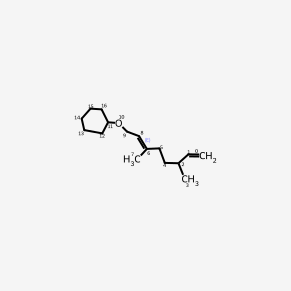 C=CC(C)CC/C(C)=C/COC1CCCCC1